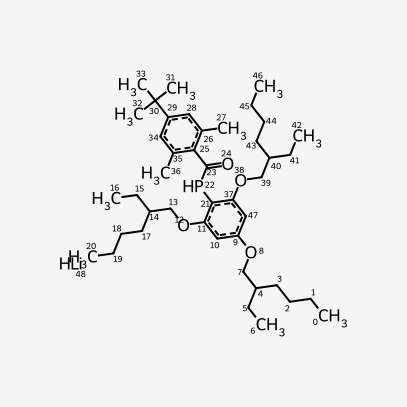 CCCCC(CC)COc1cc(OCC(CC)CCCC)c(PC(=O)c2c(C)cc(C(C)(C)C)cc2C)c(OCC(CC)CCCC)c1.[LiH]